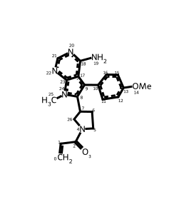 C=CC(=O)N1CCC(c2c(-c3ccc(OC)cc3)c3c(N)ncnc3n2C)C1